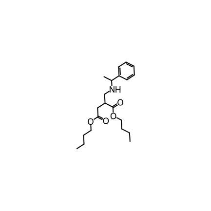 CCCCOC(=O)CC(CNC(C)c1ccccc1)C(=O)OCCCC